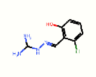 NC(N)N/N=C/c1c(O)cccc1Cl